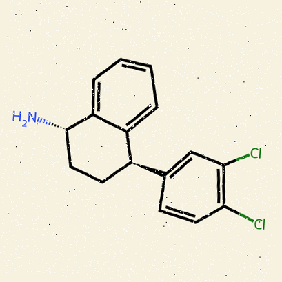 N[C@H]1CC[C@H](c2ccc(Cl)c(Cl)c2)c2ccccc21